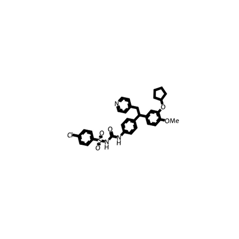 COc1ccc(C(Cc2ccncc2)c2ccc(NC(=O)NS(=O)(=O)c3ccc(Cl)cc3)cc2)cc1OC1CCCC1